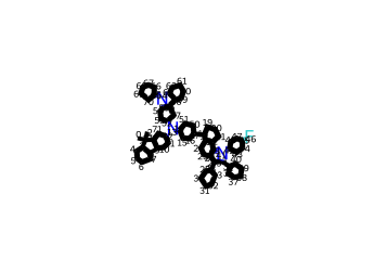 CC1(C)c2ccccc2-c2ccc(N(c3ccc(-c4cccc5c4ccc4c(-c6ccccc6)c(-c6ccccc6)n(-c6ccc(F)cc6)c45)cc3)c3ccc4c(c3)c3ccccc3n4-c3ccccc3)cc21